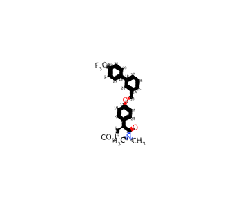 CN(C)C(=O)[C@@H](CC(=O)O)c1ccc(OCc2cccc(-c3ccc(C(F)(F)F)cc3)c2)cc1